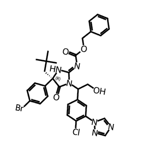 CC(C)(C)C[C@]1(c2ccc(Br)cc2)NC(=NC(=O)OCc2ccccc2)N(C(CO)c2ccc(Cl)c(-n3cncn3)c2)C1=O